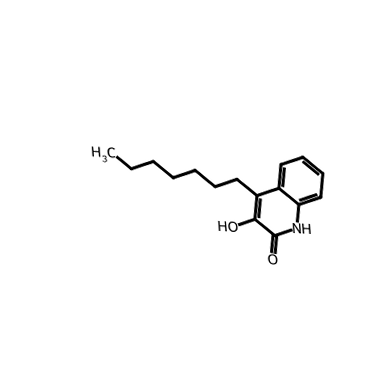 CCCCCCCc1c(O)c(=O)[nH]c2ccccc12